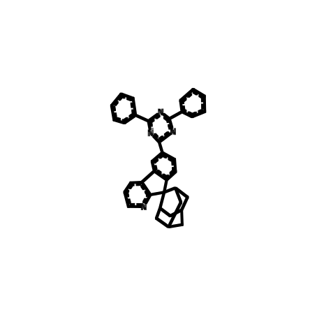 c1ccc(-c2nc(-c3ccccc3)nc(-c3ccc4c(c3)-c3cccnc3C43C4CC5CC(C4)CC3C5)n2)cc1